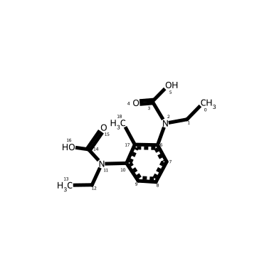 CCN(C(=O)O)c1cccc(N(CC)C(=O)O)c1C